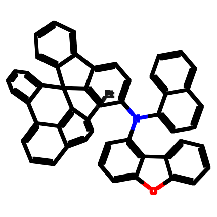 CCc1ccc2cccc3c2c1C1(c2ccccc2-c2ccc(N(c4cccc5ccccc45)c4cccc5oc6ccccc6c45)cc21)c1ccccc1-3